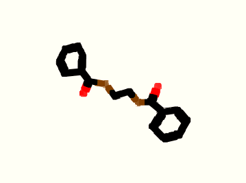 O=C(SCCSC(=O)c1ccccc1)c1ccccc1